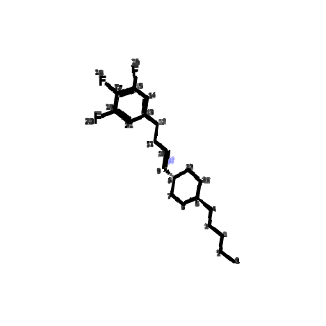 CCCCC[C@H]1CC[C@H](/C=C/CCc2cc(F)c(F)c(F)c2)CC1